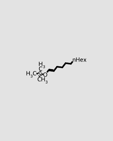 CCCCCCCCCCC=CO[Si](C)(C)C